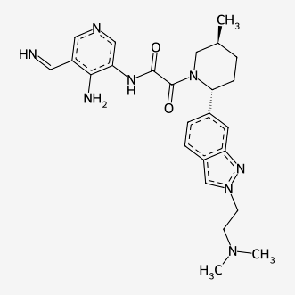 C[C@H]1CC[C@H](c2ccc3cn(CCN(C)C)nc3c2)N(C(=O)C(=O)Nc2cncc(C=N)c2N)C1